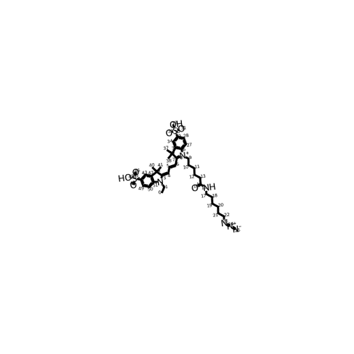 CCN1/C(=C/C=C/C2=[N+](CCCCCC(=O)NCCCCCCN=[N+]=[N-])c3ccc(S(=O)(=O)O)cc3C2(C)C)C(C)(C)c2cc(S(=O)(=O)O)ccc21